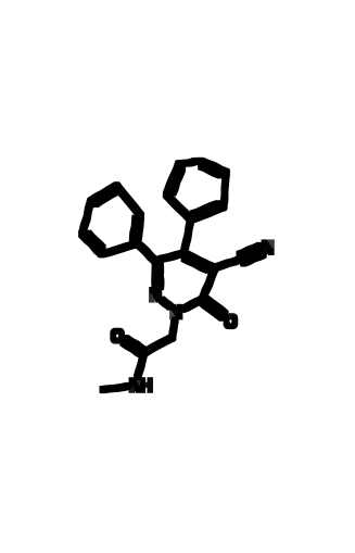 CNC(=O)Cn1nc(-c2ccccc2)c(-c2ccccc2)c(C#N)c1=O